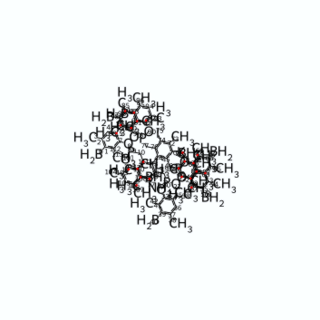 Bc1c(C)cc(C)c(OP(Cc2c(C)c(C)c(N)c(CP(Oc3c(C)cc(C)c(B)c3C)Oc3c(C)cc(C)c(B)c3C)c2-c2c(CP(Oc3c(C)cc(C)c(B)c3C)Oc3c(C)cc(C)c(B)c3C)[c]([K])c(C)c(I)c2CP(Oc2c(C)cc(C)c(B)c2C)Oc2c(C)cc(C)c(B)c2C)Oc2c(C)cc(C)c(B)c2C)c1C